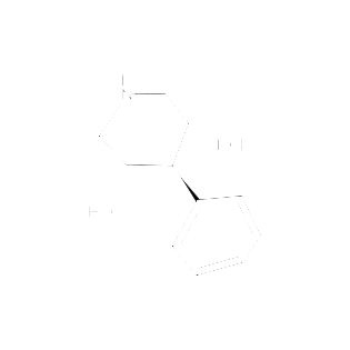 Cl.O[C@@H]1CNCC[C@H]1c1ccccc1